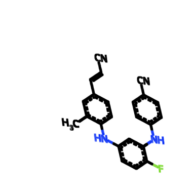 Cc1cc(C=CC#N)ccc1Nc1ccc(F)c(Nc2ccc(C#N)cc2)c1